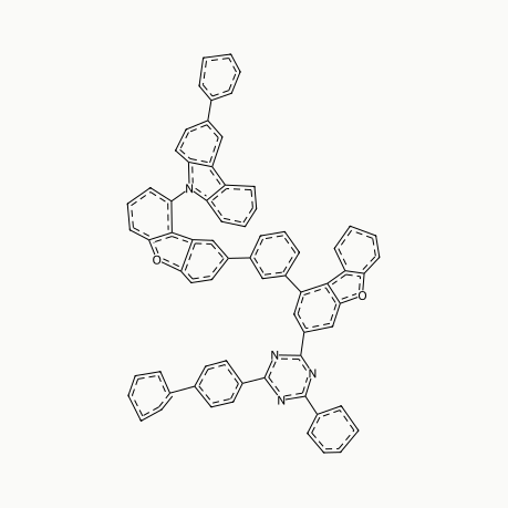 c1ccc(-c2ccc(-c3nc(-c4ccccc4)nc(-c4cc(-c5cccc(-c6ccc7oc8cccc(-n9c%10ccccc%10c%10cc(-c%11ccccc%11)ccc%109)c8c7c6)c5)c5c(c4)oc4ccccc45)n3)cc2)cc1